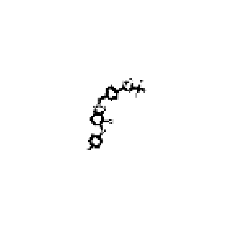 Fc1ccc(Oc2ccc3nn(Cc4ccc(-c5noc(C(F)(F)F)n5)cc4)nc3c2Cl)cc1